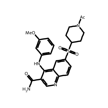 COc1cccc(Nc2c(C(N)=O)cnc3ccc(S(=O)(=O)C4CCN(C(C)=O)CC4)cc23)c1